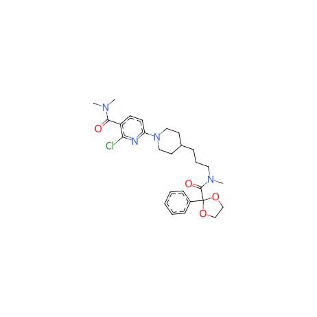 CN(C)C(=O)c1ccc(N2CCC(CCCN(C)C(=O)C3(c4ccccc4)OCCO3)CC2)nc1Cl